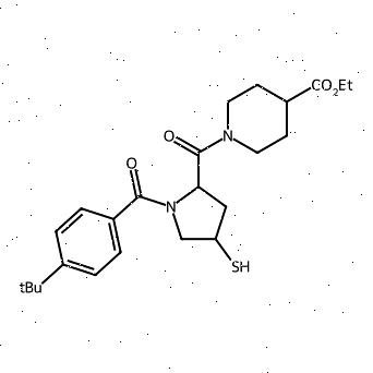 CCOC(=O)C1CCN(C(=O)C2CC(S)CN2C(=O)c2ccc(C(C)(C)C)cc2)CC1